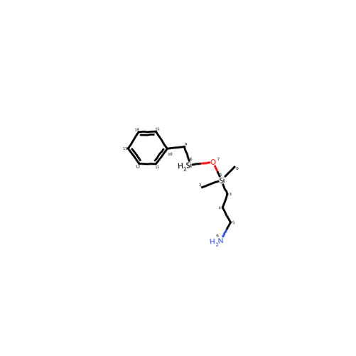 C[Si](C)(CCCN)O[SiH2]Cc1ccccc1